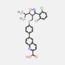 CC(C)C1ON=C(c2c(Cl)cccc2Cl)C1CSc1ccc(-c2ccc3nc(C(=O)O)ccc3c2)cc1